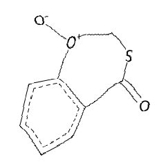 O=C1SC[O+]([O-])c2ccccc21